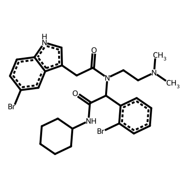 CN(C)CCN(C(=O)Cc1c[nH]c2ccc(Br)cc12)C(C(=O)NC1CCCCC1)c1ccccc1Br